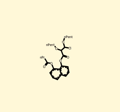 CCCCCOC(Cl)C(OCCCCC)C(=O)Oc1cccc2cccc(OC(=O)CCC)c12